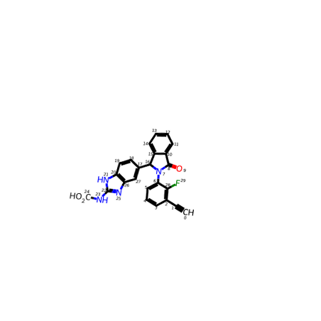 C#Cc1cccc(N2C(=O)c3ccccc3C2c2ccc3[nH]c(NC(=O)O)nc3c2)c1F